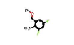 CC(C)OCc1cc(F)cc(F)c1[N+](=O)[O-]